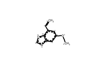 C=Cc1cc(OC)cc2ncoc12